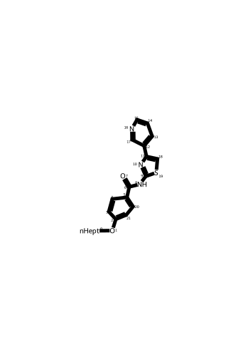 CCCCCCCOc1ccc(C(=O)Nc2nc(-c3cccnc3)cs2)cc1